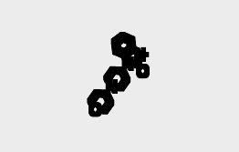 O=C1[N]c2ccccc2N1C1CCN(C2CCOCC2)CC1